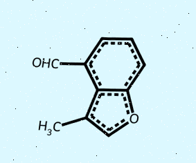 Cc1coc2cccc(C=O)c12